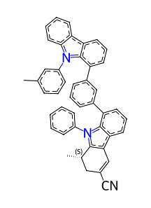 Cc1cccc(-n2c3ccccc3c3cccc(-c4cccc(-c5cccc6c7c(n(-c8ccccc8)c56)[C@@H](C)CC(C#N)=C7)c4)c32)c1